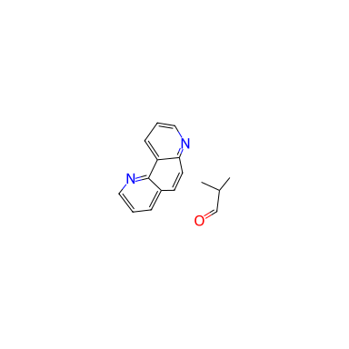 CC(C)C=O.c1cnc2c(c1)ccc1ncccc12